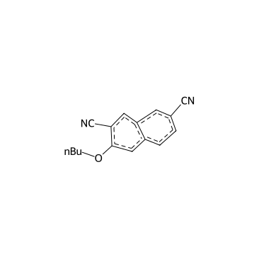 CCCCOc1cc2ccc(C#N)cc2cc1C#N